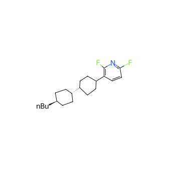 CCCC[C@H]1CC[C@H](C2CCC(c3ccc(F)nc3F)CC2)CC1